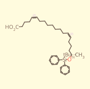 C[C@@H](CCC/C=C\CCCCCCC/C=C\CCCC(=O)O)O[Si](c1ccccc1)(c1ccccc1)C(C)(C)C